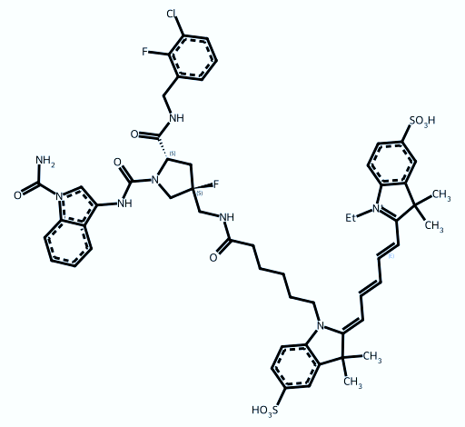 CC[N+]1=C(/C=C/C=CC=C2N(CCCCCC(=O)NC[C@@]3(F)C[C@@H](C(=O)NCc4cccc(Cl)c4F)N(C(=O)Nc4cn(C(N)=O)c5ccccc45)C3)c3ccc(S(=O)(=O)O)cc3C2(C)C)C(C)(C)c2cc(S(=O)(=O)O)ccc21